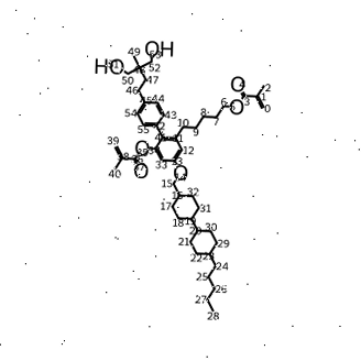 C=C(C)C(=O)OCCCCCc1cc(OCC2CCC(C3CCC(CCCCC)CC3)CC2)cc(OC(=O)C(=C)C)c1-c1ccc(CCC(C)(CO)CO)cc1